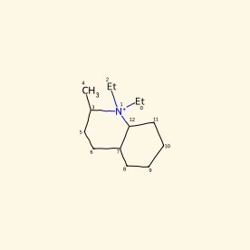 CC[N+]1(CC)C(C)CCC2CCCCC21